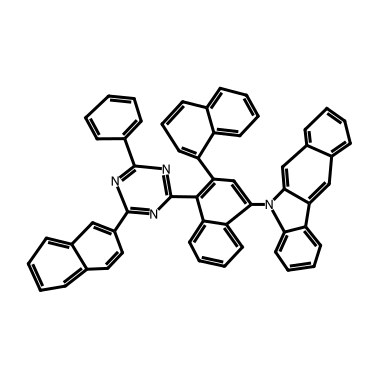 c1ccc(-c2nc(-c3ccc4ccccc4c3)nc(-c3c(-c4cccc5ccccc45)cc(-n4c5ccccc5c5cc6ccccc6cc54)c4ccccc34)n2)cc1